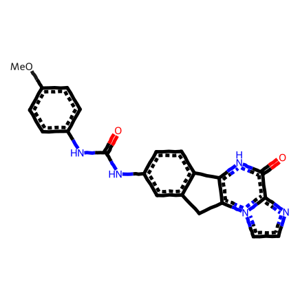 COc1ccc(NC(=O)Nc2ccc3c(c2)Cc2c-3[nH]c(=O)c3nccn23)cc1